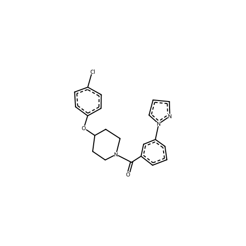 O=C(c1cccc(-n2cccn2)c1)N1CCC(Oc2ccc(Cl)cc2)CC1